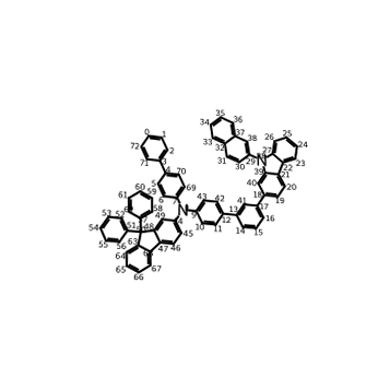 c1ccc(-c2ccc(N(c3ccc(-c4cccc(-c5ccc6c7ccccc7n(-c7ccc8ccccc8c7)c6c5)c4)cc3)c3ccc4c(c3)C(c3ccccc3)(c3ccccc3)c3ccccc3-4)cc2)cc1